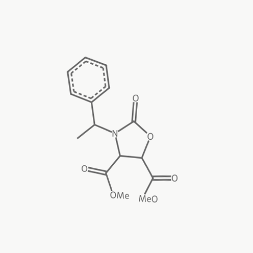 COC(=O)C1OC(=O)N(C(C)c2ccccc2)C1C(=O)OC